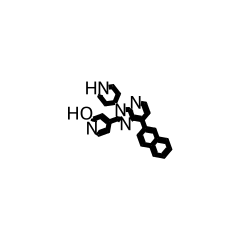 Oc1cc(-c2nc3c(-c4ccc5ccccc5c4)ccnc3n2C2CCNCC2)ccn1